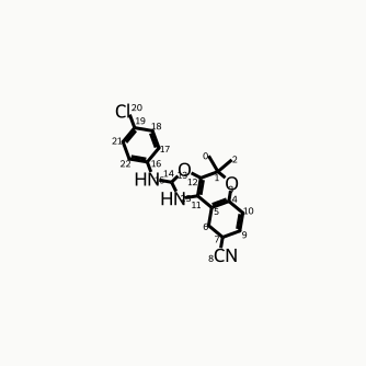 CC1(C)OC2=C(CC(C#N)C=C2)C2=C1OC(Nc1ccc(Cl)cc1)N2